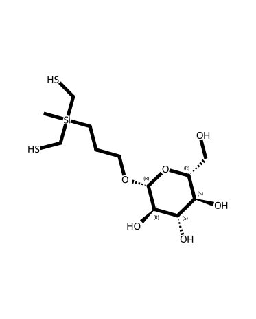 C[Si](CS)(CS)CCCO[C@@H]1O[C@H](CO)[C@@H](O)[C@H](O)[C@H]1O